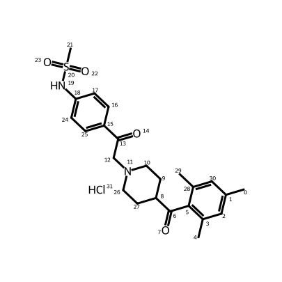 Cc1cc(C)c(C(=O)C2CCN(CC(=O)c3ccc(NS(C)(=O)=O)cc3)CC2)c(C)c1.Cl